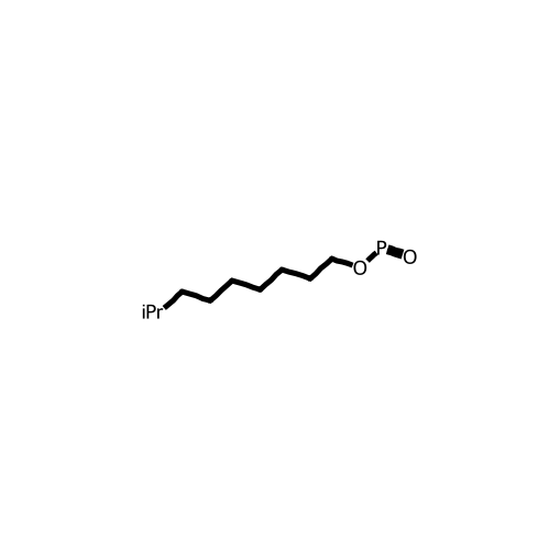 CC(C)CCCCCCCOP=O